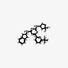 FC1(F)CCC(Nc2nc(NC3Cc4ccccc4C3)nc(-c3cccc(C(F)(F)F)n3)n2)C1